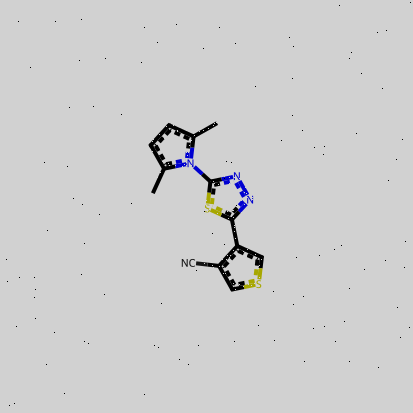 Cc1ccc(C)n1-c1nnc(-c2cscc2C#N)s1